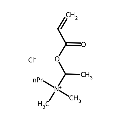 C=CC(=O)OC(C)[N+](C)(C)CCC.[Cl-]